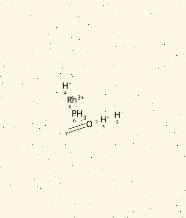 P.[C]=O.[H-].[H-].[H-].[Rh+3]